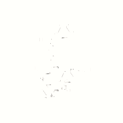 CC1=C(C(=O)OCCN(C)Cc2ccccc2)C(c2ccccc2C(F)(F)F)c2c(ccnc2OCC(C)C)N1.Cl.Cl